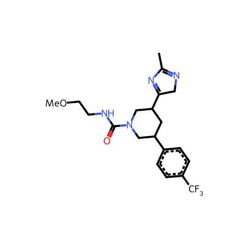 COCCNC(=O)N1CC(C2=NC(C)=NC2)CC(c2ccc(C(F)(F)F)cc2)C1